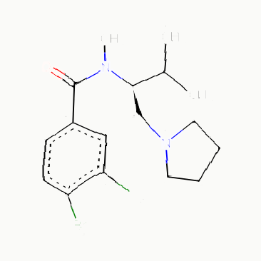 CC(C)[C@@H](CN1CCCC1)N(C)C(=O)c1ccc(Br)c(F)c1